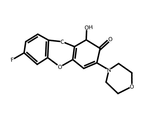 O=C1C(N2CCOCC2)=CC2=C(Cc3ccc(F)cc3O2)C1O